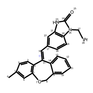 Cc1ccc2c(c1)OCc1ccccc1/C2=C\c1ccc2c(c1)[nH]c(=O)n2CC(C)C